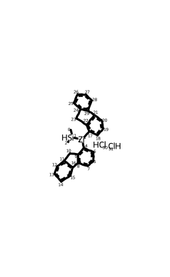 C[SiH](C)[Zr]([c]1cccc2c1Cc1ccccc1-2)[c]1cccc2c1Cc1ccccc1-2.Cl.Cl